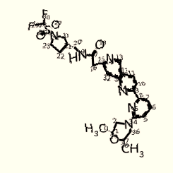 C[C@@H]1CN(c2cccc(-c3ccc4cnc(CC(=O)NC[C@@H]5CCN(S(=O)(=O)C(F)F)C5)cc4n3)n2)C[C@H](C)O1